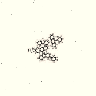 C=C/C=C\c1c(C)c(-c2cccc3oc4cc(-c5c6ccccc6c(-c6ccccc6)c6ccccc56)ccc4c23)c2ccccc2c1-n1c2ccccc2c2cc(-c3ccccc3)ccc21